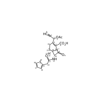 C#CC(OC(C)=O)C1=C(C(=O)O)N2C(=O)[C@H](NC(=O)Cc3cccs3)[C@H]2SC1